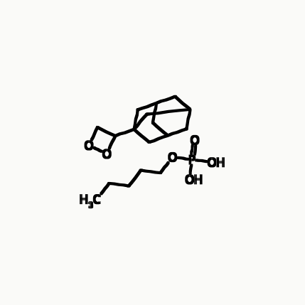 C1C2CC3CC1CC(C1COO1)(C2)C3.CCCCCOP(=O)(O)O